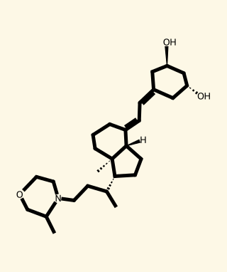 CC(CCN1CCOCC1C)[C@H]1CC[C@H]2C(=CC=C3C[C@@H](O)C[C@H](O)C3)CCC[C@]12C